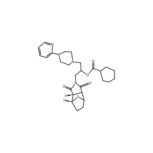 O=C(OC(CN1CCN(c2ccccn2)CC1)CN1C(=O)C2C3CC[C@@H](O3)[C@@H]2C1=O)C1CCCCC1